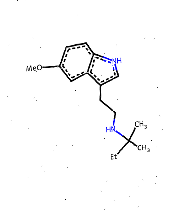 CCC(C)(C)NCCc1c[nH]c2ccc(OC)cc12